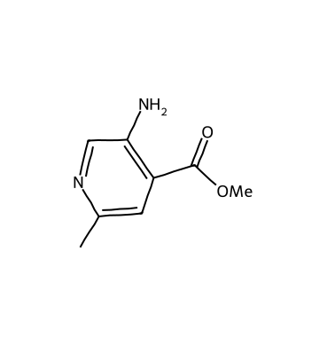 COC(=O)c1cc(C)ncc1N